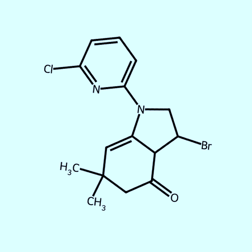 CC1(C)C=C2C(C(=O)C1)C(Br)CN2c1cccc(Cl)n1